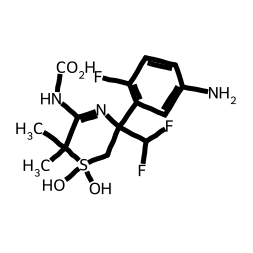 CC1(C)C(NC(=O)O)=NC(c2cc(N)ccc2F)(C(F)F)CS1(O)O